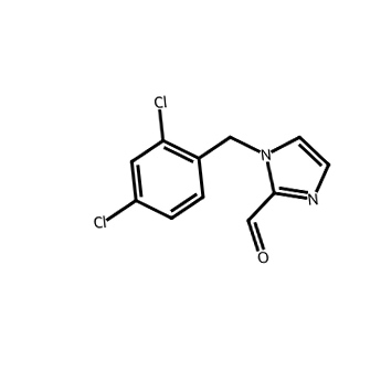 O=Cc1nccn1Cc1ccc(Cl)cc1Cl